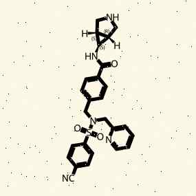 N#Cc1ccc(S(=O)(=O)N(Cc2ccc(C(=O)N[C@H]3[C@@H]4CNC[C@@H]43)cc2)Cc2ccccn2)cc1